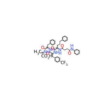 C[C@H](NC(=O)[C@@H](Cc1ccccc1)NC(=O)[C@H](Cc1ccc(C(F)(F)F)cc1)NC(=O)[C@@H](CCCc1ccccc1)NC(=O)CCC(=O)Nc1ccccc1)C(=O)O